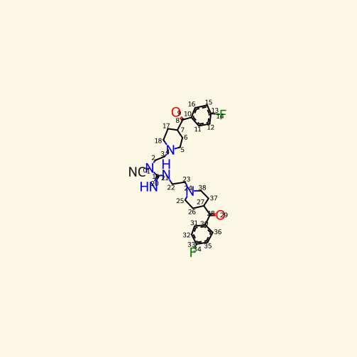 N#CN(CCN1CCC(C(=O)c2ccc(F)cc2)CC1)C(=N)NCCN1CCC(C(=O)c2ccc(F)cc2)CC1